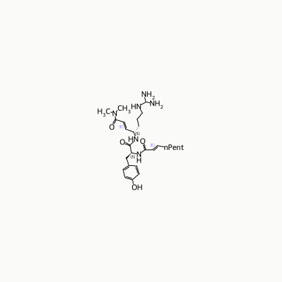 CCCCC/C=C/C(=O)N[C@@H](Cc1ccc(O)cc1)C(=O)N[C@H](/C=C/C(=O)N(C)C)CCCNC(N)N